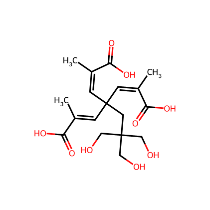 CC(=CC(C=C(C)C(=O)O)(C=C(C)C(=O)O)CC(CO)(CO)CO)C(=O)O